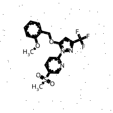 COc1ccccc1COc1cc(C(F)(F)F)nn1-c1ccc(S(C)(=O)=O)cn1